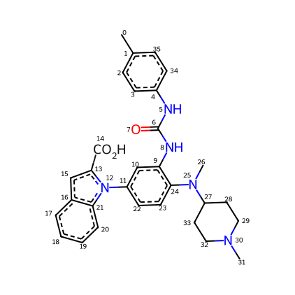 Cc1ccc(NC(=O)Nc2cc(-n3c(C(=O)O)cc4ccccc43)ccc2N(C)C2CCN(C)CC2)cc1